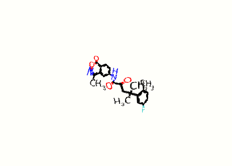 Cc1ccc(F)cc1C(C)(C)CC(=O)C(=O)Nc1ccc2c(=O)onc(C)c2c1